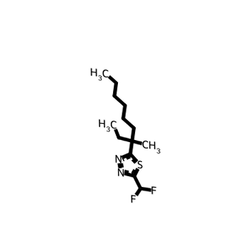 CCCCCCC(C)(CC)c1nnc(C(F)F)s1